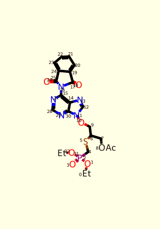 CCOP(=O)(CSC(COC(C)=O)COn1cnc2c(N3C(=O)c4ccccc4C3=O)ncnc21)OCC